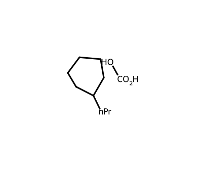 CCCC1CCCCC1.O=C(O)O